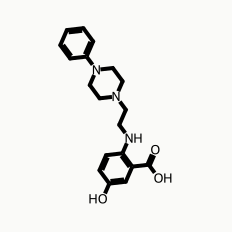 O=C(O)c1cc(O)ccc1NCCN1CCN(c2ccccc2)CC1